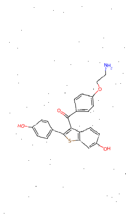 NCCOc1ccc(C(=O)c2c(-c3ccc(O)cc3)sc3cc(O)ccc23)cc1